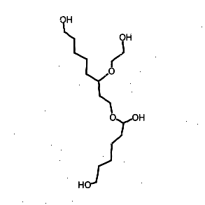 OCCCCCC(O)OCCC(CCCCCO)OCCO